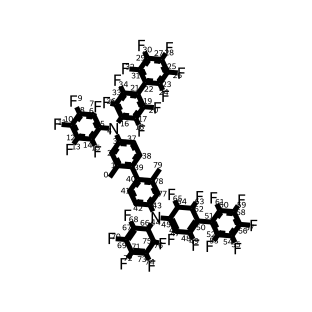 Cc1cc(N(c2c(F)c(F)c(F)c(F)c2F)c2c(F)c(F)c(-c3c(F)c(F)c(F)c(F)c3F)c(F)c2F)ccc1-c1ccc(N(C2=C(F)C(F)=C(c3c(F)c(F)c(F)c(F)c3F)C(F)C2F)C2C(F)=C(F)C(F)=C(F)C2F)cc1C